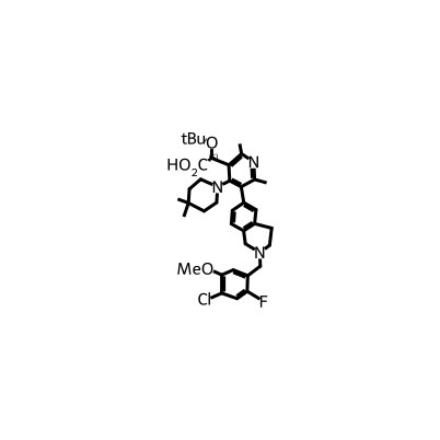 COc1cc(CN2CCc3cc(-c4c(C)nc(C)c([C@H](OC(C)(C)C)C(=O)O)c4N4CCC(C)(C)CC4)ccc3C2)c(F)cc1Cl